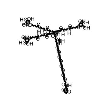 N=N/C(=C\NCCOCCOCCOCCOCCOCCOCCOCCOCCC(=O)NCCN1C(=O)C=CC1=O)CCC(=O)NC(COCCC(=O)NCCCNC(=O)CCCCO[C@@H]1C[C@H](CO)[C@H](O)[C@H](O)C1)(COCCC(=O)NCCCNC(=O)CCCCO[C@H]1C[C@@H](O)[C@@H](O)[C@@H](CO)O1)COCCC(=O)NCCCNC(=O)CCCCO[C@H]1C[C@@H](O)[C@@H](O)[C@@H](CO)O1